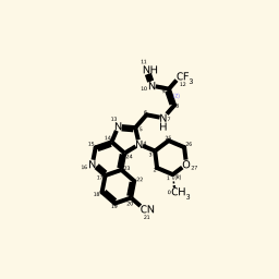 C[C@@H]1CC(n2c(CN/C=C(\N=N)C(F)(F)F)nc3cnc4ccc(C#N)cc4c32)CCO1